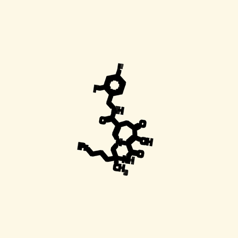 CC(C)CCCC1(C)CN2C=C(C(=O)NCc3ccc(F)cc3F)CC(=O)C(O)=C2C(=O)N1